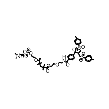 C=C(OCCOP(=O)(O)OCC[N+](C)(C)C)C(C)(C)CC(C)(C)C(=O)OCCOCCNC(=O)c1ccc(C(=O)C(CS(=O)(=O)c2ccc(C)cc2)CS(=O)(=O)c2ccc(C)cc2)cc1